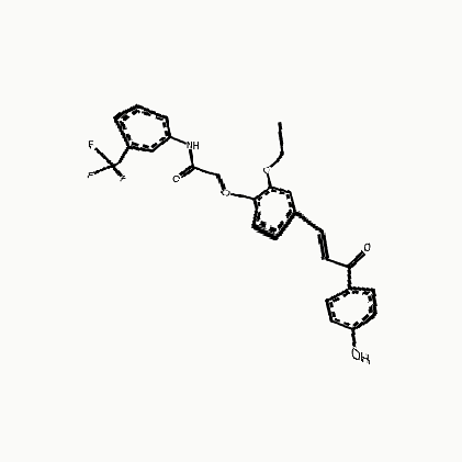 CCOc1cc(C=CC(=O)c2ccc(O)cc2)ccc1OCC(=O)Nc1cccc(C(F)(F)F)c1